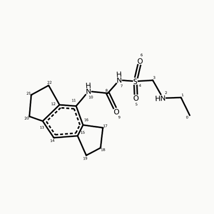 CCNCS(=O)(=O)NC(=O)Nc1c2c(cc3c1CCC3)CCC2